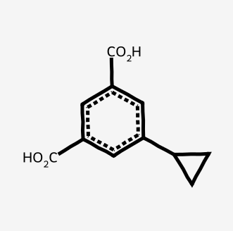 O=C(O)c1cc(C(=O)O)cc(C2CC2)c1